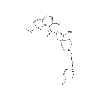 COc1ccc2ncc(Cl)c([C@H](F)CCC3(C(=O)O)CCN(CCSc4ccc(Cl)cc4)CC3)c2c1